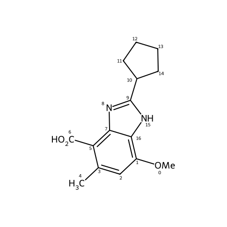 COc1cc(C)c(C(=O)O)c2nc(C3CCCC3)[nH]c12